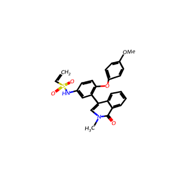 C=CS(=O)(=O)Nc1ccc(Oc2ccc(OC)cc2)c(-c2cn(C)c(=O)c3ccccc23)c1